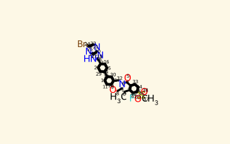 CCc1c(C(=O)N2CCOc3ccc(-c4ccc(-c5nc6ncc(Br)nc6[nH]5)cc4)cc3C2)ccc(S(C)(=O)=O)c1F